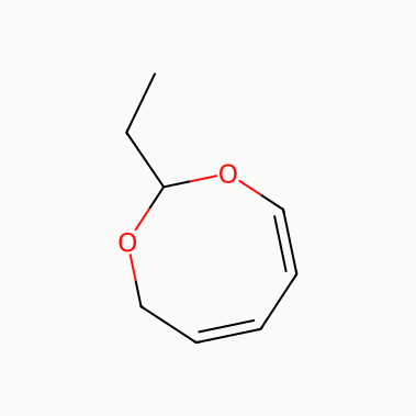 CCC1OC=CC=CCO1